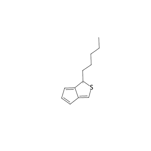 CCCCC[C]1SC=C2C=CC=C12